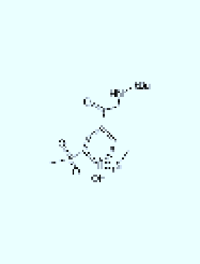 CC(C)(C)NCC(=O)c1ccc(O)c(S(C)(=O)=O)c1.CS(=O)(=O)O